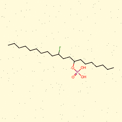 CCCCCCCCCC(F)CCC(CCCCCCC)OP(=O)(O)O